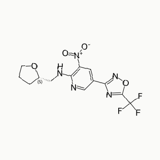 O=[N+]([O-])c1cc(-c2noc(C(F)(F)F)n2)cnc1NC[C@@H]1CCCO1